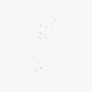 CC(=O)c1ccc2c(c1)CN(CCCSc1nnc(-c3ccc([N+](=O)[O-])cc3[N+](=O)[O-])n1C)CC2